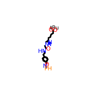 CC(C)(C)OC(=O)CCCCc1cn(CC(=O)NCCc2ccc(ON=P)cc2)nn1